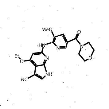 CCOc1cc(Nc2ncc(C(=O)N3CCOCC3)cc2OC)nc2[nH]cc(C#N)c12